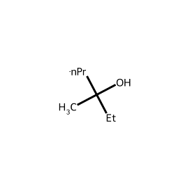 [CH2]C[CH]C(C)(O)CC